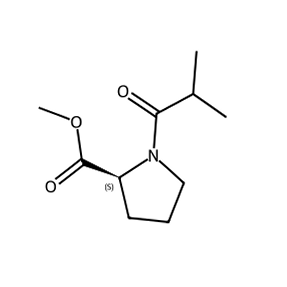 COC(=O)[C@@H]1CCCN1C(=O)C(C)C